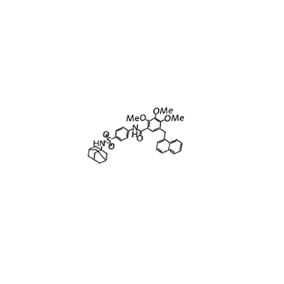 COc1c(Cc2cccc3ccccc23)cc(C(=O)Nc2ccc(S(=O)(=O)NC34CC5CC(CC(C5)C3)C4)cc2)c(OC)c1OC